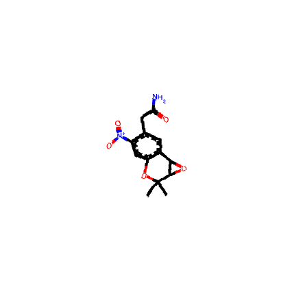 CC1(C)Oc2cc([N+](=O)[O-])c(CC(N)=O)cc2C2OC21